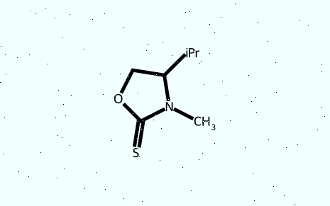 CC(C)C1COC(=S)N1C